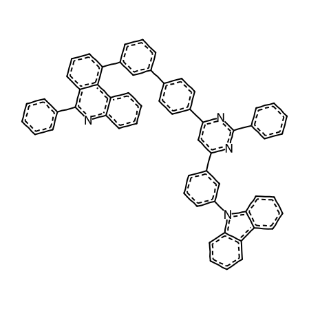 c1ccc(-c2nc(-c3ccc(-c4cccc(-c5cccc6c(-c7ccccc7)nc7ccccc7c56)c4)cc3)cc(-c3cccc(-n4c5ccccc5c5ccccc54)c3)n2)cc1